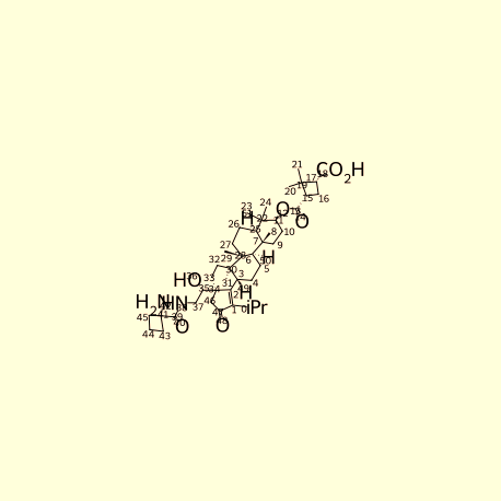 CC(C)C1=C2[C@H]3CC[C@@H]4[C@@]5(C)CC[C@H](OC(=O)[C@H]6C[C@@H](C(=O)O)C6(C)C)C(C)(C)[C@@H]5CC[C@@]4(C)[C@]3(C)CC[C@@]2([C@@H](O)CNC(=O)C2(N)CCC2)CC1=O